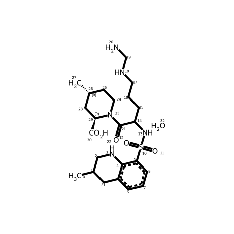 CC1CNc2c(cccc2S(=O)(=O)NC(CCCNCN)C(=O)N2CC[C@@H](C)C[C@@H]2C(=O)O)C1.O